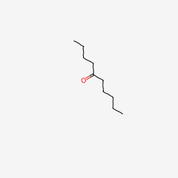 CCCCCC(=O)CCCC